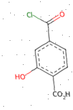 O=C(Cl)c1ccc(C(=O)O)c(O)c1